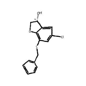 O[C@H]1COc2c(SCc3ccccc3)cc(Cl)cc21